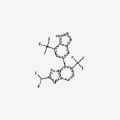 FC(F)c1nc2ccc(C(F)(F)F)c(-c3cc(C(F)(F)F)c4[nH]ncc4c3)n2n1